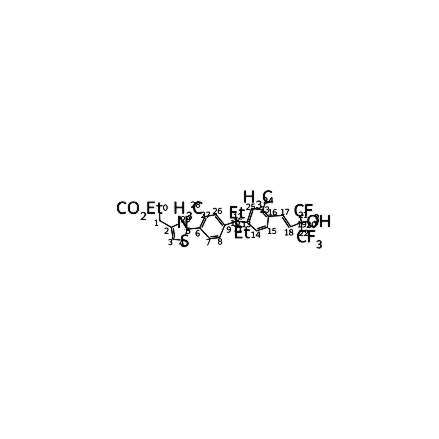 CCOC(=O)Cc1csc(-c2ccc(C(CC)(CC)c3ccc(/C=C/C(O)(C(F)(F)F)C(F)(F)F)c(C)c3)cc2C)n1